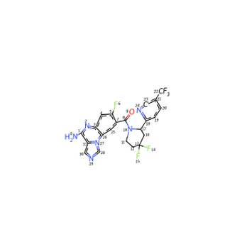 Nc1nc2cc(F)c(C(=O)N3CCC(F)(F)CC3c3ccc(C(F)(F)F)cn3)cc2n2cncc12